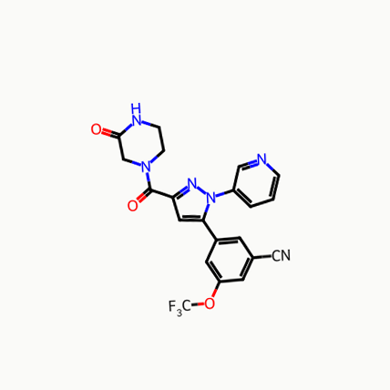 N#Cc1cc(OC(F)(F)F)cc(-c2cc(C(=O)N3CCNC(=O)C3)nn2-c2cccnc2)c1